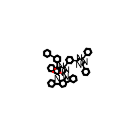 c1ccc(-c2cccc(-c3ccc(-n4c5ccccc5c5ccc6c7ccccc7n(-c7nc(-c8ccccc8)nc(-c8cccc(-c9nc(-c%10ccccc%10)nc(-c%10ccccc%10)n9)c8)n7)c6c54)cc3)c2)cc1